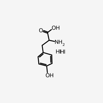 I.I.NC(Cc1ccc(O)cc1)C(=O)O